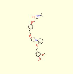 COc1ccc(CCO[C@H]2CCCCC2N2CC[C@@H](OCCc3ccc(OCC(O)CNC(C)C)cc3)C2)cc1OC